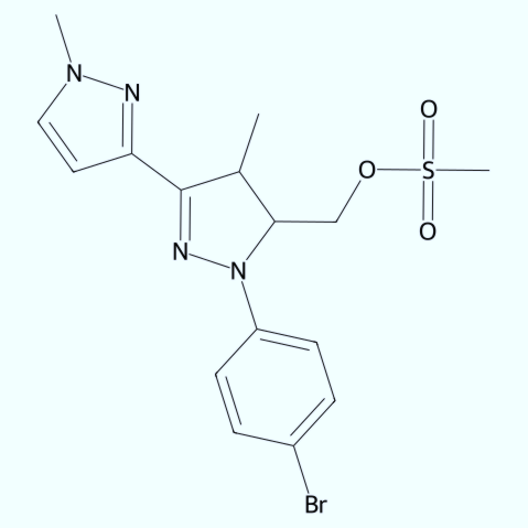 CC1C(c2ccn(C)n2)=NN(c2ccc(Br)cc2)C1COS(C)(=O)=O